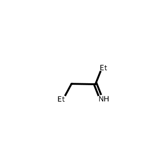 CCCC(=N)CC